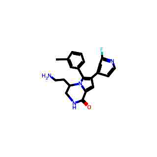 Cc1cccc(-c2c(-c3ccnc(F)c3)cc3n2C(CCN)CNC3=O)c1